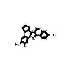 N#Cc1ccc(N2N=C3c4ccc(C(=O)O)cc4OCC3C2C2CC=CC2)cc1Cl